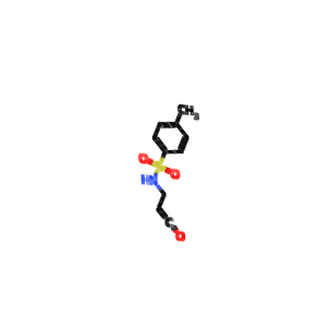 Cc1ccc(S(=O)(=O)NCC=C=O)cc1